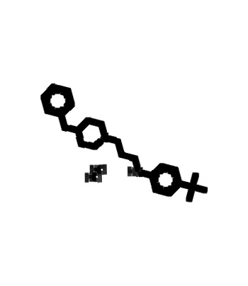 CC(C)(C)c1ccc(NCCCN2CCC(Cc3ccccc3)CC2)cc1.Cl.Cl